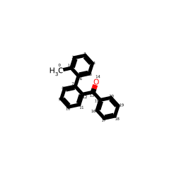 Cc1ccccc1-c1ccccc1C(=O)c1ccccc1